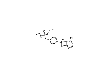 CCOP(=O)(Cc1ccc(-c2nc3cccc(Cl)c3o2)cc1)OCC